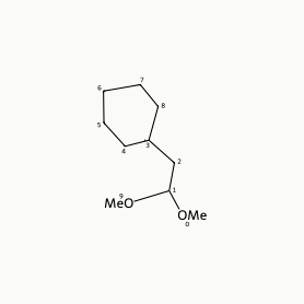 COC(C[C]1CCCCC1)OC